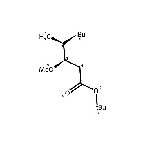 CC[C@H](C)[C@H](C)[C@@H](CC(=O)OC(C)(C)C)OC